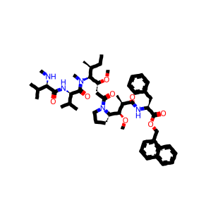 CC[C@H](C)[C@@H]([C@@H](CC(=O)N1CCC[C@H]1[C@H](OC)[C@@H](C)C(=O)N[C@@H](Cc1ccccc1)C(=O)OCc1cccc2ccccc12)OC)N(C)C(=O)[C@@H](NC(=O)[C@@H](NC)C(C)C)C(C)C